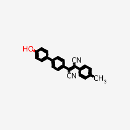 Cc1ccc(/C(C#N)=C(\C#N)c2ccc(-c3ccc(O)cc3)cc2)cc1